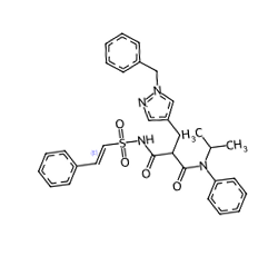 CC(C)N(C(=O)C(Cc1cnn(Cc2ccccc2)c1)C(=O)NS(=O)(=O)/C=C/c1ccccc1)c1ccccc1